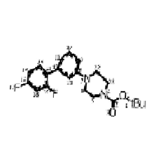 CC(C)(C)OC(=O)N1CCN(c2cccc(-c3ccc(F)cc3F)c2)CC1